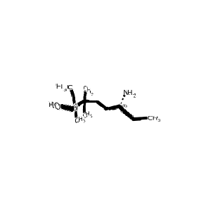 CC[C@@H](N)CCC(C)(C)[Si](C)(C)O